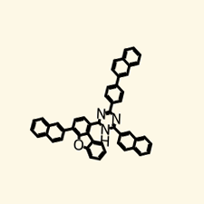 c1ccc2cc(C3=NC(c4ccc(-c5ccc6ccccc6c5)cc4)=NC(c4ccc(-c5ccc6ccccc6c5)c5oc6ccccc6c45)N3)ccc2c1